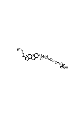 CC(C)CCCC(C)C1CCC2C3CC=C4CC(OC(=O)NCCCOCCOCCOP(C)(=O)O)CCC4(C)C3CCC12C